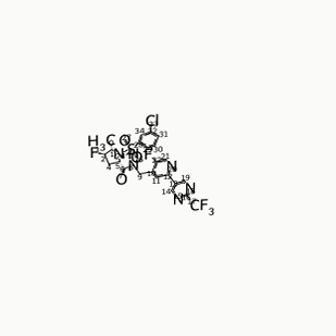 C[C@H]1[C@H](F)C[C@@H](C(=O)NCc2cc(-c3cnc(C(F)(F)F)nc3)ncc2F)N1S(=O)(=O)c1cccc(Cl)c1